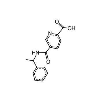 CC(NC(=O)c1ccc(C(=O)O)nc1)c1ccccc1